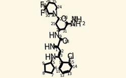 N=C(/C=C(\NC1CCCC1)c1ccccc1Cl)C(=O)NC(CCN1CCCC(F)(F)C1)CC(=O)NN